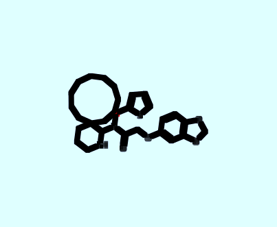 O=C(COc1ccc2c(c1)OCO2)N(Cc1cccs1)C1NCCCC12CCCCCCCCCC2